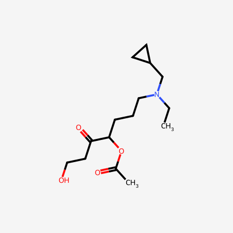 CCN(CCCC(OC(C)=O)C(=O)CCO)CC1CC1